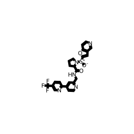 O=C(NCc1cc(-c2ccc(C(F)(F)F)cn2)ccn1)C1CCCN1[S+]([O-])c1cc2cnccc2o1